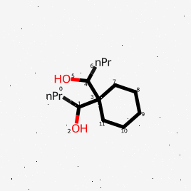 CCCC(O)C1(C(O)CCC)CCCCC1